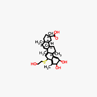 CC1=C2C(=CC(O)C1O)[C@]1(C)CC[C@@]3(C)[C@@H]4C[C@](C)(C(=O)O)CC[C@]4(C)CC[C@]3(C)C1=CC2SCCO